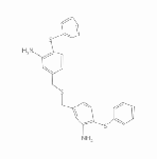 Nc1cc(CSCc2ccc(Sc3ccccc3)c(N)c2)ccc1Sc1ccccc1